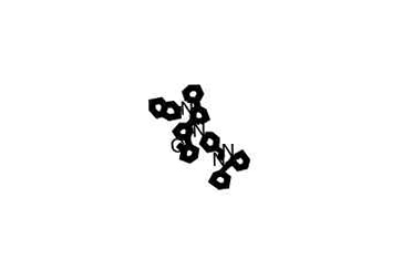 c1ccc(-c2nc(-c3ccc(-n4c5ccc6c7ccccc7n(-c7ccc8ccccc8c7)c6c5c5ccc6oc7ccccc7c6c54)cc3)nc3ccccc23)cc1